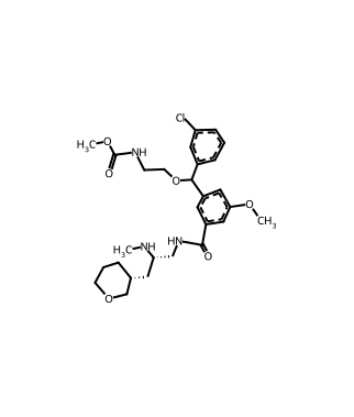 CN[C@H](CNC(=O)c1cc(OC)cc(C(OCCNC(=O)OC)c2cccc(Cl)c2)c1)C[C@H]1CCCOC1